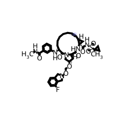 CNC(=O)c1cccc(N[C@H]2CCCCC/C=C\[C@H]3C[C@@]3(C(=O)NS(=O)(=O)C3(C)CC3)NC(=O)[C@@H]3C[C@@H](OCON4Cc5cccc(F)c5C4)CN3C2=O)c1